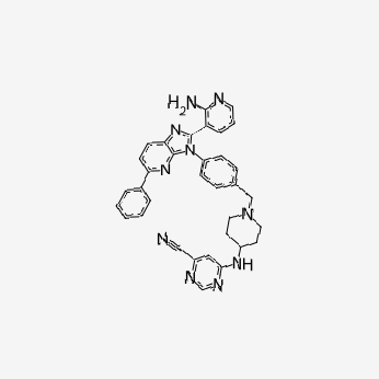 N#Cc1cc(NC2CCN(Cc3ccc(-n4c(-c5cccnc5N)nc5ccc(-c6ccccc6)nc54)cc3)CC2)ncn1